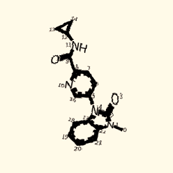 Cn1c(=O)n(-c2ccc(C(=O)NC3CC3)nc2)c2ccccc21